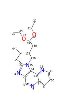 CCCc1nc2cnc3cccnc3c2n1CCCC(OCC)OCC